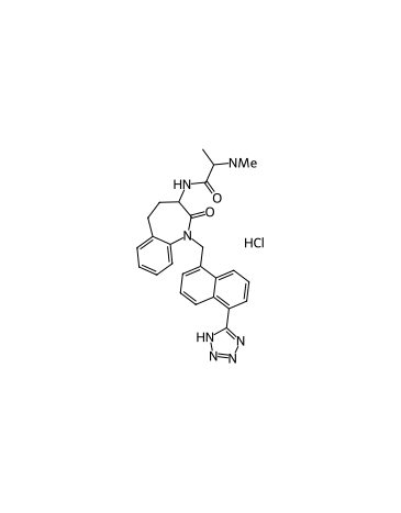 CNC(C)C(=O)NC1CCc2ccccc2N(Cc2cccc3c(-c4nnn[nH]4)cccc23)C1=O.Cl